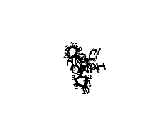 O=C(NC(NC(=O)C1CCCCC1)C(O)CCCl)C1CCCCC1